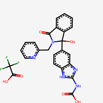 O=C(O)C(F)(F)F.O=C(O)Nc1nc2cc(C3(O)c4ccccc4C(=O)N3Cc3ccccn3)ccc2[nH]1